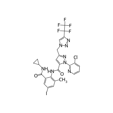 Cc1cc(I)cc(C(=O)NC2CC2)c1NC(=O)c1cc(Cn2cc(C(F)(F)C(F)(F)F)nn2)nn1-c1ncccc1Cl